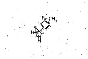 Cc1ccc(C23CNC[C@@H]2C3)cc1F